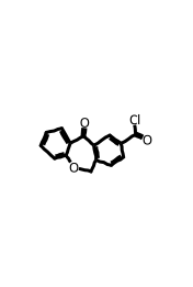 O=C(Cl)c1ccc2c(c1)C(=O)c1ccccc1OC2